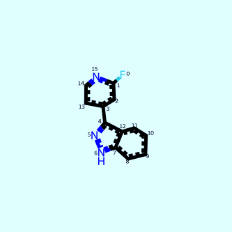 Fc1cc(-c2n[nH]c3ccccc23)ccn1